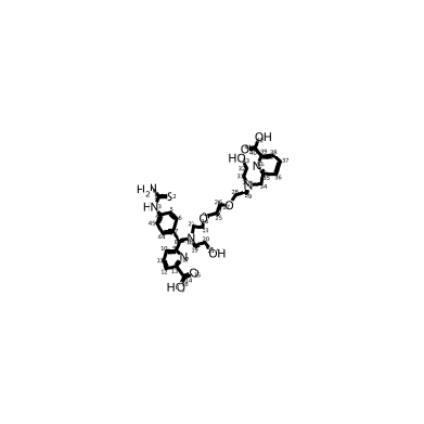 NC(=S)Nc1ccc(C(c2cccc(C(=O)O)n2)N(CCO)CCOCCOCCN(CCO)Cc2cccc(C(=O)O)n2)cc1